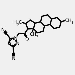 CC1CCC2C(CCC3C2CCC2(C)C3CC(C)C2C(=O)Cn2nc(C#N)cc2C#N)C1